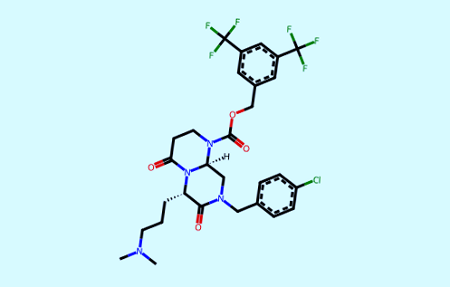 CN(C)CCC[C@H]1C(=O)N(Cc2ccc(Cl)cc2)C[C@@H]2N(C(=O)OCc3cc(C(F)(F)F)cc(C(F)(F)F)c3)CCC(=O)N21